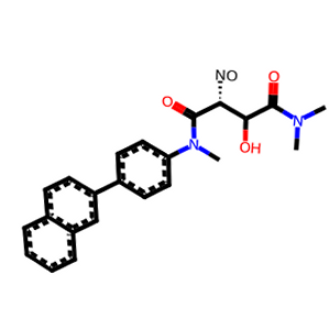 CN(C)C(=O)C(O)[C@@H](N=O)C(=O)N(C)c1ccc(-c2ccc3ccccc3c2)cc1